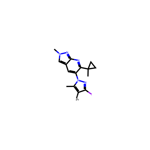 Cc1c(C(C)C)c(I)nn1-c1cc2cn(C)nc2nc1C1(C)CC1